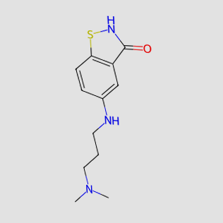 CN(C)CCCNc1ccc2s[nH]c(=O)c2c1